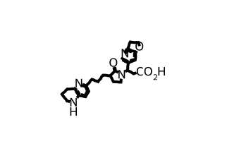 O=C(O)CC(c1cnc2c(c1)OCC2)N1CCC(CCCc2ccc3c(n2)CCCN3)C1=O